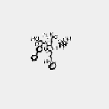 NC(=O)CC[C@H](NC(=O)CCCNc1ccccn1)C(=O)NC(CC(=O)O)c1ccc(-c2ccccc2)cc1.O=C(O)C(F)(F)F